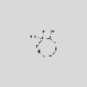 CCC1CCCCC#CC1(C)F